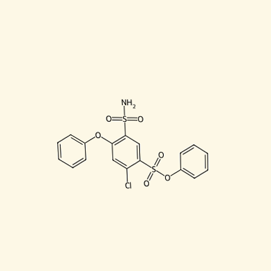 NS(=O)(=O)c1cc(S(=O)(=O)Oc2ccccc2)c(Cl)cc1Oc1ccccc1